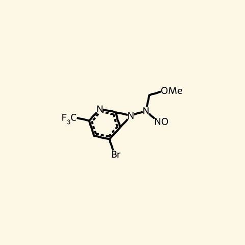 COCN(N=O)N1c2nc(C(F)(F)F)cc(Br)c21